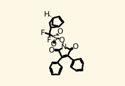 O=C1C(c2ccccc2)=C(c2ccccc2)C(=O)N1OS(=O)(=O)C(F)(F)C1C[C@H]2C=CC1C2